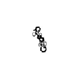 CC1CCCCN1C(=O)c1cc2cc(S(=O)(=O)N3CCCCCC3)ccc2o1